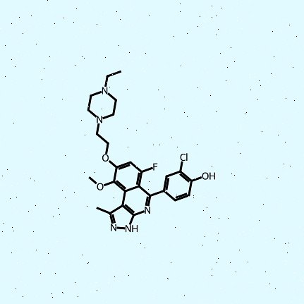 CCN1CCN(CCOc2cc(F)c3c(-c4ccc(O)c(Cl)c4)nc4[nH]nc(C)c4c3c2OC)CC1